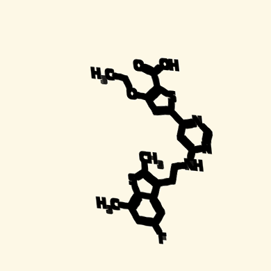 CCOc1cc(-c2cc(NCCc3c(C)sc4c(C)cc(F)cc34)ncn2)sc1C(=O)O